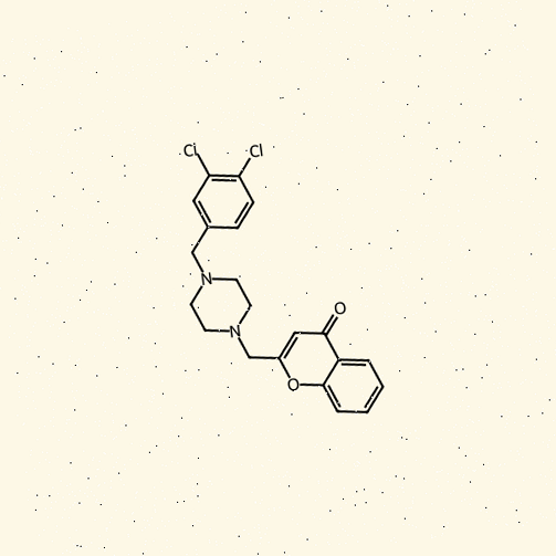 O=c1cc(CN2CCN(Cc3ccc(Cl)c(Cl)c3)CC2)oc2ccccc12